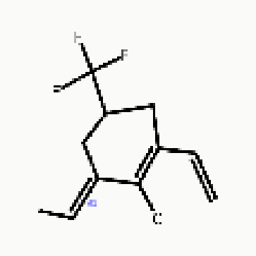 C=CC1=C(Cl)/C(=C/C)CC(C(F)(F)F)C1